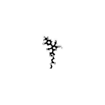 CCOC(=O)CCn1cc(-c2nc(N)c(C#N)c(-c3ccc(C(F)(F)F)c(Cl)c3)c2C#N)cn1